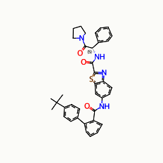 CC(C)(C)c1ccc(-c2ccccc2C(=O)Nc2ccc3nc(C(=O)N[C@H](C(=O)N4CCCC4)c4ccccc4)sc3c2)cc1